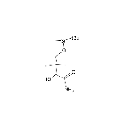 CC(C)(CO[Si](C)(C)C(C)(C)C)C(O)C(N)=O